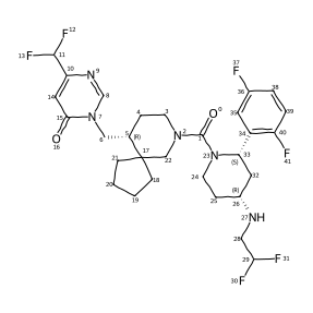 O=C(N1CC[C@@H](Cn2cnc(C(F)F)cc2=O)C2(CCCC2)C1)N1CC[C@@H](NCC(F)F)C[C@H]1c1cc(F)ccc1F